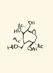 CC(=O)[C@]1(O)OC[C@](O)(C(C)=O)[C@@H](CO)[C@]1(O)C(C)=O